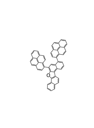 c1ccc2c(c1)ccc1c2oc2c(-c3ccc4ccc5cccc6ccc3c4c56)cc3c(-c4ccc5ccc6cccc7ccc4c5c67)cccc3c21